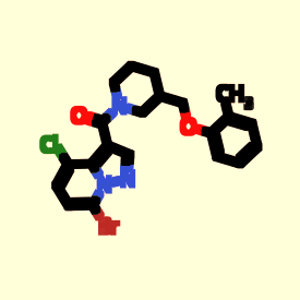 Cc1ccccc1OCC1CCCN(C(=O)c2cnn3c(Br)ccc(Cl)c23)C1